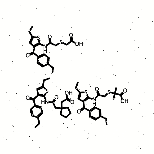 CCc1ccc(C(=O)c2cc(CC)sc2NC(=O)CC2(CC(=O)O)CCCC2)cc1.CCc1ccc(C(=O)c2cc(CC)sc2NC(=O)CSC(C)(C)C(=O)O)cc1.CCc1ccc(C(=O)c2cc(CC)sc2NC(=O)CSCC(=O)O)cc1